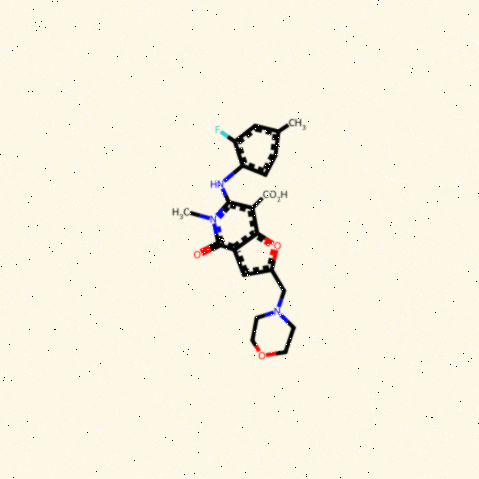 Cc1ccc(Nc2c(C(=O)O)c3oc(CN4CCOCC4)cc3c(=O)n2C)c(F)c1